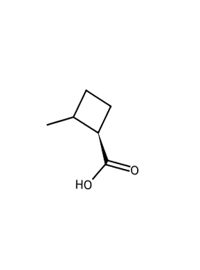 CC1CC[C@H]1C(=O)O